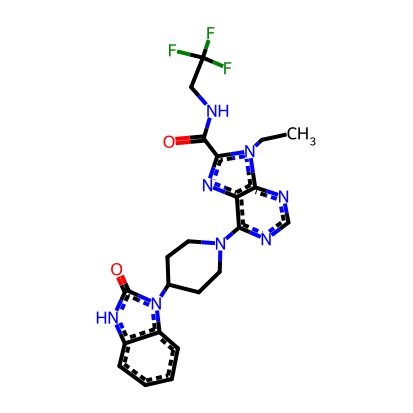 CCn1c(C(=O)NCC(F)(F)F)nc2c(N3CCC(n4c(=O)[nH]c5ccccc54)CC3)ncnc21